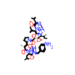 CC[C@H](C)[C@@H]([C@@H](CC(=O)N1CCCC1[C@H](OC)[C@@H](C)C(=O)NC(CC(C)C)C(=O)NCc1ccc(N)cc1)OC)N(C)C(=O)C(NC(=O)C(C(C)C)N(C)C)C(C)C